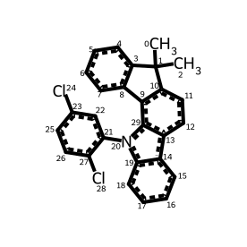 CC1(C)c2ccccc2-c2c1ccc1c3ccccc3n(-c3cc(Cl)ccc3Cl)c21